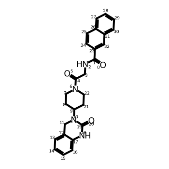 O=C(NCC(=O)N1CCC(N2Cc3ccccc3NC2=O)CC1)c1ccc2ccccc2c1